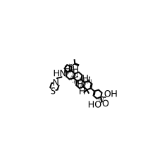 C=C(C)[C@@H]1CC[C@]2(NCCN3CCSCC3)CC[C@]3(C)[C@H](CC[C@@H]4[C@@H]5[C@@H](CC[C@]43C)C(C)(C)C(C3=CC[C@@](CO)(C(=O)O)CC3)=C[C@@H]5C)[C@@H]12